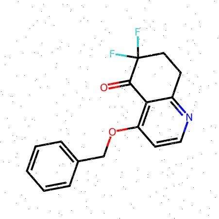 O=C1c2c(OCc3ccccc3)ccnc2CCC1(F)F